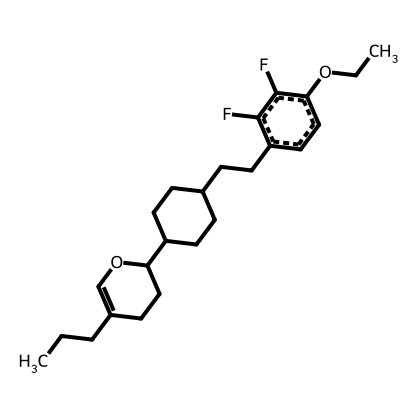 CCCC1=COC(C2CCC(CCc3ccc(OCC)c(F)c3F)CC2)CC1